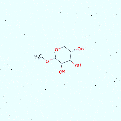 CO[C@@H]1OC[C@H](O)C(O)C1O